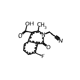 Cc1c(C(=O)O)c2cccc(F)c2c(=O)n1CC#N